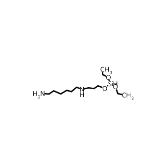 CCO[SiH](OCC)OCCCNCCCCCCN